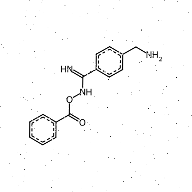 N=C(NOC(=O)c1ccccc1)c1ccc(CN)cc1